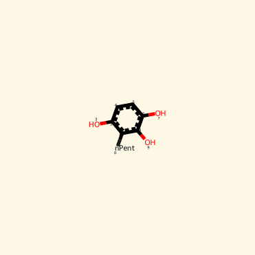 CCCCCc1c(O)ccc(O)c1O